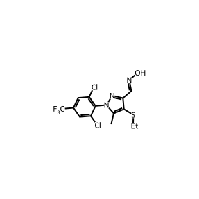 CCSc1c(C=NO)nn(-c2c(Cl)cc(C(F)(F)F)cc2Cl)c1C